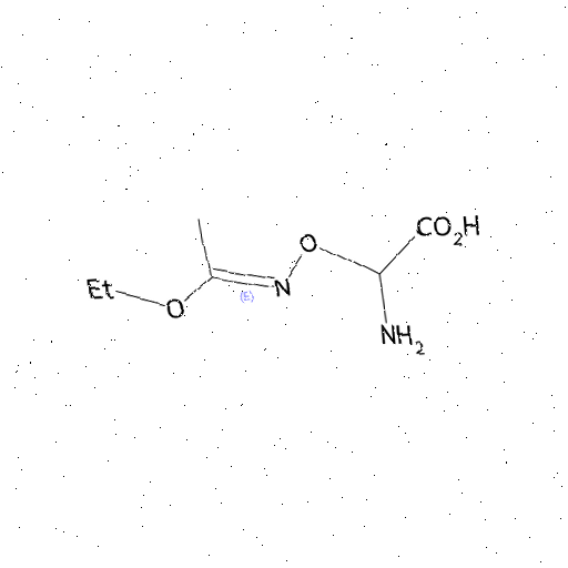 CCO/C(C)=N/OC(N)C(=O)O